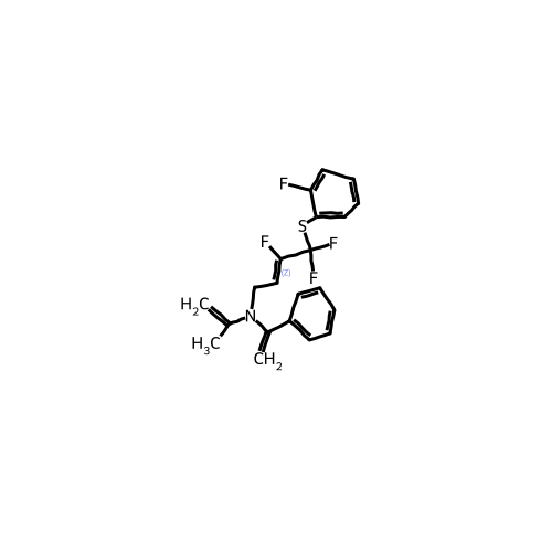 C=C(C)N(C/C=C(\F)C(F)(F)Sc1ccccc1F)C(=C)c1ccccc1